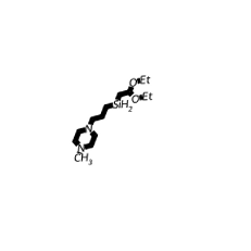 CCOC(C[SiH2]CCCN1CCN(C)CC1)OCC